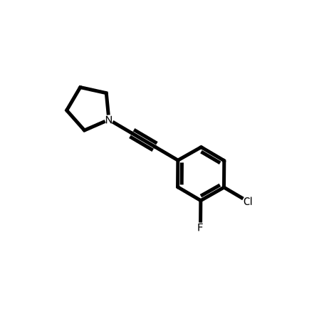 Fc1cc(C#CN2CCCC2)ccc1Cl